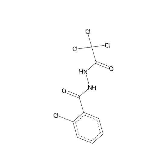 O=C(NNC(=O)C(Cl)(Cl)Cl)c1ccccc1Cl